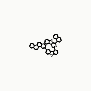 c1ccc2c(-c3nc(-c4cccc5oc6ccc(-c7ccc8ccc9c%10ccccc%10ccc9c8c7)cc6c45)nc4c3sc3ccccc34)cccc2c1